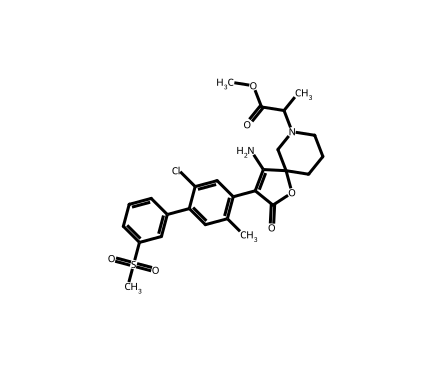 COC(=O)C(C)N1CCCC2(C1)OC(=O)C(c1cc(Cl)c(-c3cccc(S(C)(=O)=O)c3)cc1C)=C2N